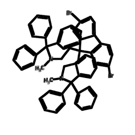 CN(CCC1(CCN(C)C(c2ccccc2)(c2ccccc2)c2ccccc2)c2cc(Br)ccc2-c2ccc(Br)cc21)C(c1ccccc1)(c1ccccc1)c1ccccc1